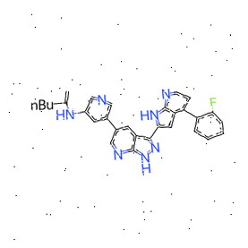 C=C(CCCC)Nc1cncc(-c2cnc3[nH]nc(-c4cc5c(-c6ccccc6F)ccnc5[nH]4)c3c2)c1